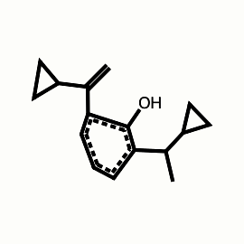 C=C(c1cccc(C(C)C2CC2)c1O)C1CC1